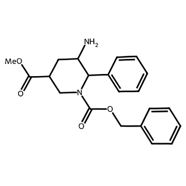 COC(=O)C1CC(N)C(c2ccccc2)N(C(=O)OCc2ccccc2)C1